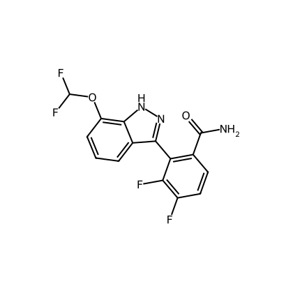 NC(=O)c1ccc(F)c(F)c1-c1n[nH]c2c(OC(F)F)cccc12